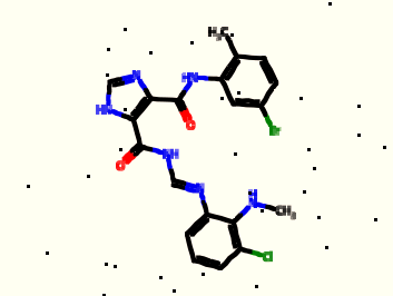 CNc1c(Cl)cccc1/N=C/NC(=O)c1[nH]cnc1C(=O)Nc1cc(Br)ccc1C